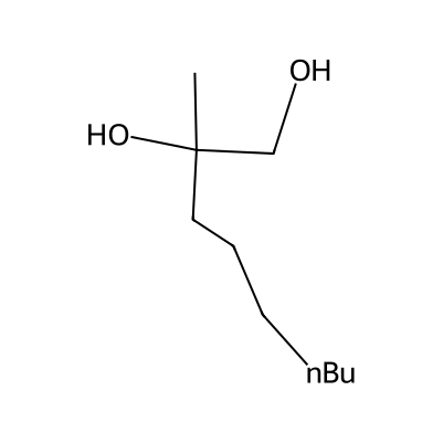 CCCCCCCC(C)(O)CO